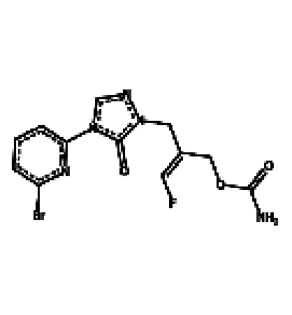 NC(=O)OCC(=CF)Cn1ncn(-c2cccc(Br)n2)c1=O